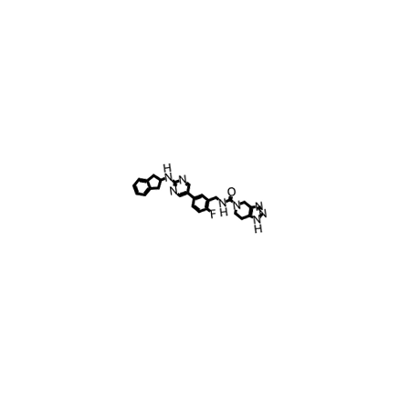 O=C(NCc1cc(-c2cnc(NC3Cc4ccccc4C3)nc2)ccc1F)N1CCc2[nH]nnc2C1